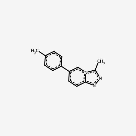 Cc1ccc(-c2ccc3nnc(C)n3c2)cc1